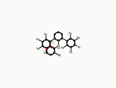 [2H]c1c([2H])c([2H])c(-c2cccc(-c3c([2H])c([2H])c([2H])c([2H])c3[2H])c2Nc2c(N)cccc2Br)c([2H])c1[2H]